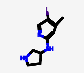 Cc1cc(NC2CCNC2)ncc1I